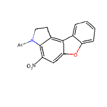 CC(=O)N1CCc2c1c([N+](=O)[O-])cc1oc3ccccc3c21